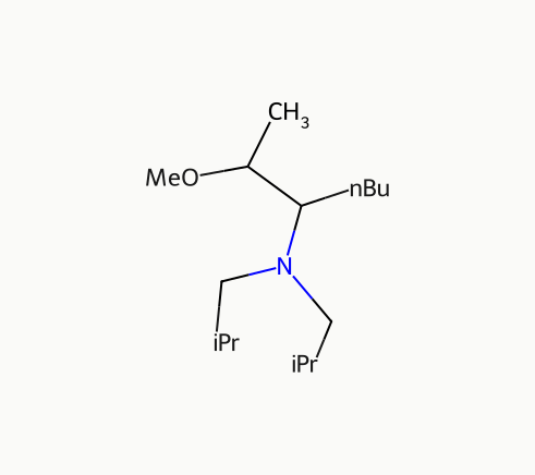 CCCCC(C(C)OC)N(CC(C)C)CC(C)C